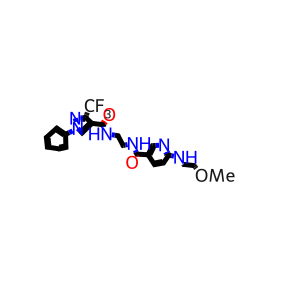 COCCNc1ccc(C(=O)NCCNC(=O)c2cn(-c3ccccc3)nc2C(F)(F)F)cn1